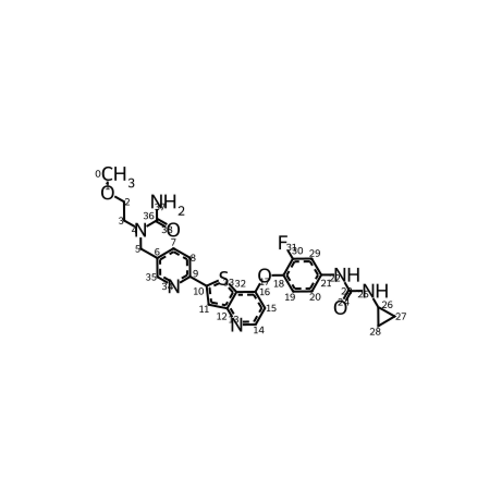 COCCN(Cc1ccc(-c2cc3nccc(Oc4ccc(NC(=O)NC5CC5)cc4F)c3s2)nc1)C(N)=O